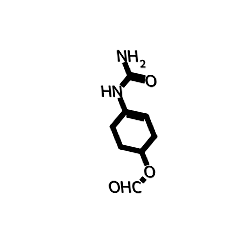 NC(=O)NC1=CCC(OC=O)CC1